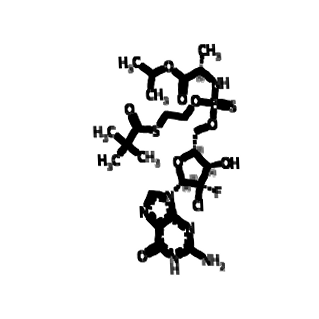 CC(C)OC(=O)[C@H](C)NP(=S)(OCCSC(=O)C(C)(C)C)OC[C@H]1O[C@@H](n2cnc3c(=O)[nH]c(N)nc32)[C@](F)(Cl)[C@@H]1O